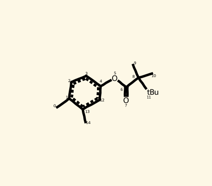 Cc1ccc(OC(=O)C(C)(C)C(C)(C)C)cc1C